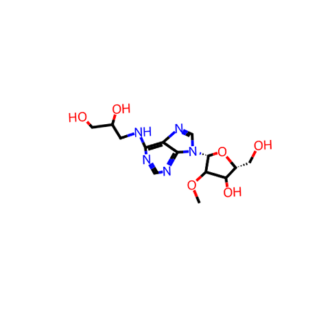 COC1C(O)[C@@H](CO)O[C@H]1n1cnc2c(NCC(O)CO)ncnc21